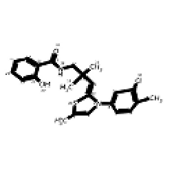 CC1=CN(c2ccc(C)c(Cl)c2)C(=CC(C)(C)CNC(=O)c2ccccc2O)S1